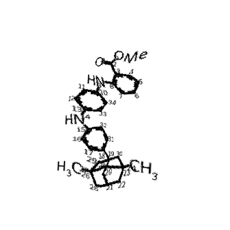 COC(=O)c1ccccc1Nc1ccc(Nc2ccc(C34CC5CC(C)(CC(C)(C5)C3)C4)cc2)cc1